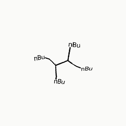 CCCC[C](CCCC)C(CCCC)CCCC